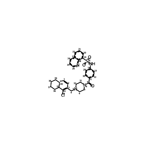 C/C=C\C(CN1CCN(C(=O)c2ccc(NS(=O)(=O)c3cccc4cccnc34)cc2)CC1)=C(\Cl)C1CCCCC1